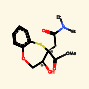 CCN(CC)C(=O)C[C@@]1(C(=O)OC)Sc2ccccc2OC[C@@H]1O